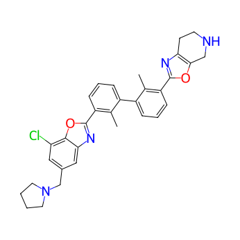 Cc1c(-c2nc3c(o2)CNCC3)cccc1-c1cccc(-c2nc3cc(CN4CCCC4)cc(Cl)c3o2)c1C